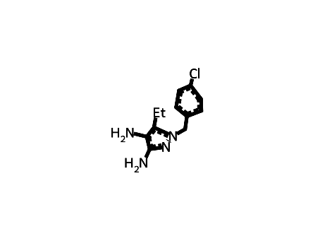 CCc1c(N)c(N)nn1Cc1ccc(Cl)cc1